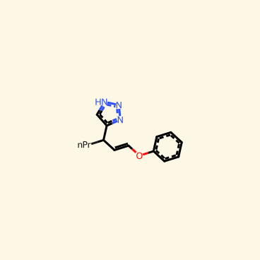 CCCC(C=COc1ccccc1)c1c[nH]nn1